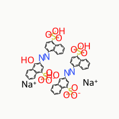 O=S(=O)([O-])c1cc(/N=N/c2ccc(S(=O)(=O)O)c3ccccc23)c(O)c2ccccc12.O=S(=O)([O-])c1cc(/N=N/c2ccc(S(=O)(=O)O)c3ccccc23)c(O)c2ccccc12.[Na+].[Na+]